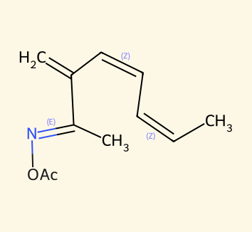 C=C(/C=C\C=C/C)/C(C)=N/OC(C)=O